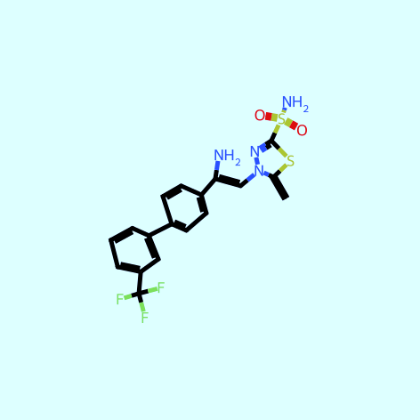 C=C1SC(S(N)(=O)=O)=NN1/C=C(\N)c1ccc(-c2cccc(C(F)(F)F)c2)cc1